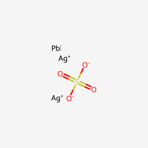 O=S(=O)([O-])[O-].[Ag+].[Ag+].[Pb]